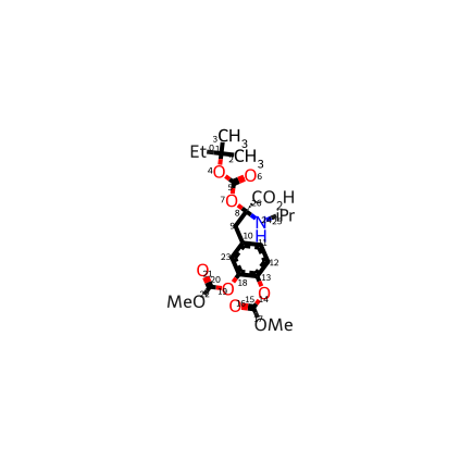 CCC(C)(C)OC(=O)O[C@](Cc1ccc(OC(=O)OC)c(OC(=O)OC)c1)(NC(C)C)C(=O)O